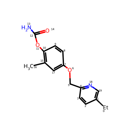 CCc1ccc(COc2ccc(OC(N)=O)c(C)c2)nc1